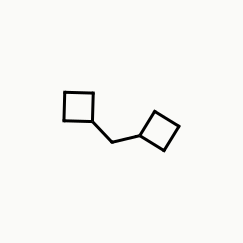 C1C[C](CC2CCC2)C1